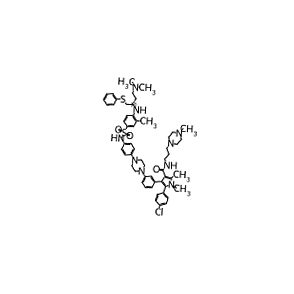 Cc1cc(S(=O)(=O)Nc2ccc(N3CCN(c4cccc(-c5c(C(=O)NCCCN6CCN(C)CC6)c(C)n(C)c5-c5ccc(Cl)cc5)c4)CC3)cc2)ccc1N[C@H](CCN(C)C)CSc1ccccc1